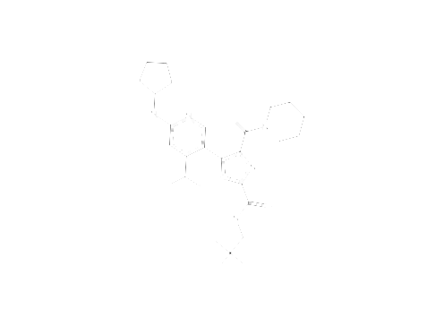 CC1CCCCN1C(=O)c1nc(C(=O)NCC(C)(C)O)sc1-c1cnc(NC2CCCC2)cc1C(F)F